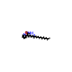 CCCCCCCCCCCCCCCCC(C(N)=O)c1ccccn1